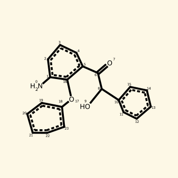 Nc1cccc(C(=O)C(O)c2ccccc2)c1Oc1ccccc1